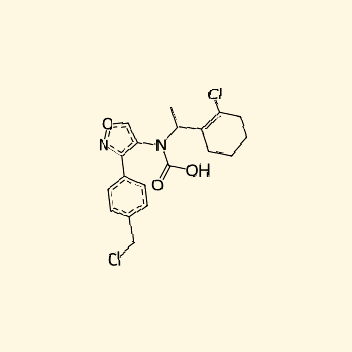 CC(C1=C(Cl)CCCC1)N(C(=O)O)c1conc1-c1ccc(CCl)cc1